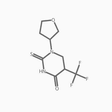 O=C1NC(=S)N(C2CCOC2)CC1C(F)(F)F